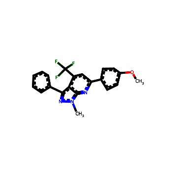 COc1ccc(-c2cc(C(F)(F)F)c3c(-c4ccccc4)nn(C)c3n2)cc1